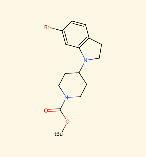 CC(C)(C)OC(=O)N1CCC(N2CCc3ccc(Br)cc32)CC1